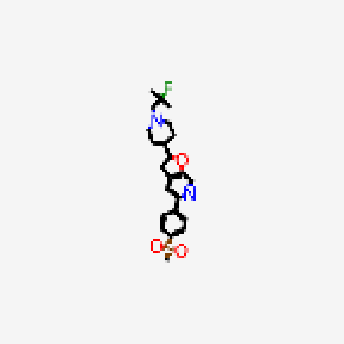 CC(C)(F)CN1CCC(C2Cc3cc(-c4ccc(S(C)(=O)=O)cc4)ncc3O2)CC1